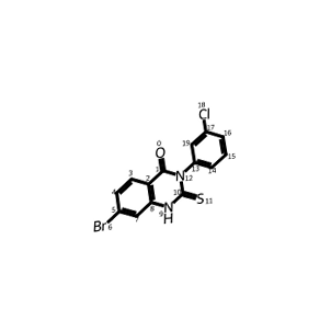 O=c1c2ccc(Br)cc2[nH]c(=S)n1-c1cccc(Cl)c1